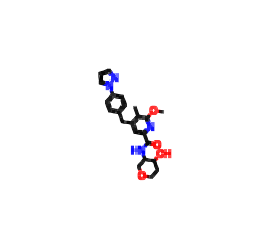 COc1nc(C(=O)NC2COCC[C@@H]2O)cc(Cc2ccc(-n3cccn3)cc2)c1C